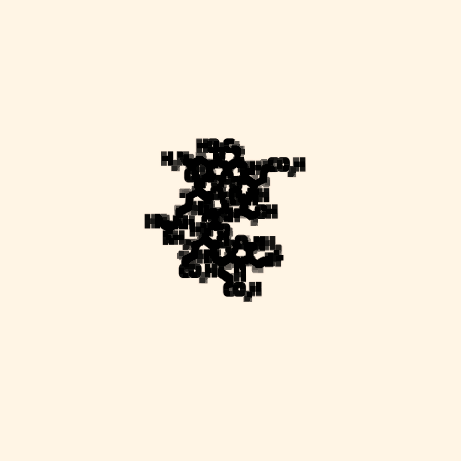 CC(=O)N[C@H](CO)C(=O)N[C@H](CCC(=O)O)C(=O)N[C@H](CC(=O)O)C(=O)N[C@H](CC(N)=O)C(=O)N[C@H](CCCNC(=N)N)C(=O)N[C@H](CC(=O)O)C(=O)N[C@H](CCCC(=O)O)C(=O)N[C@H](CCC(=O)O)C(=O)N[C@H](CC(C)C)C(N)=O